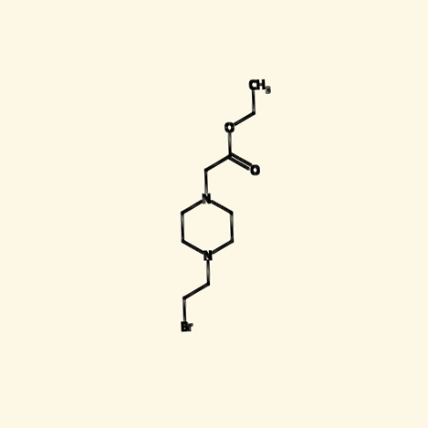 CCOC(=O)CN1CCN(CCBr)CC1